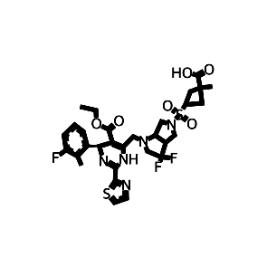 CCOC(=O)C1=C(CN2CC(F)(F)C3CN(S(=O)(=O)C4CC(C)(C(=O)O)C4)CC32)NC(c2nccs2)=N[C@H]1c1cccc(F)c1C